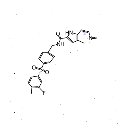 C=N/C=C\c1[nH]c(C(=O)NCc2ccc(S(=O)(=O)c3ccc(C)c(F)c3)cc2)cc1C